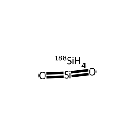 O=[Si]=O.[188SiH4]